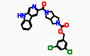 O=C(OCc1cc(Cl)cc(Cl)c1)N1CC2CN(C(=O)c3cc4c(cn3)[nH]c3ccccc34)CC2C1